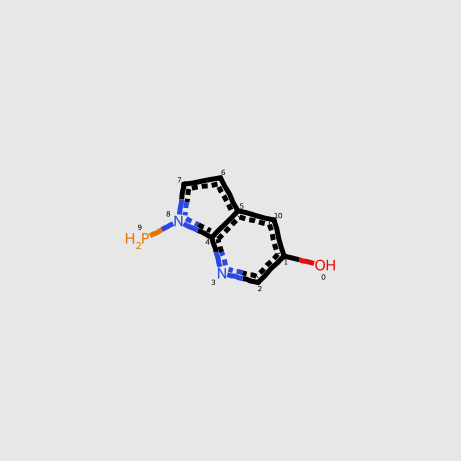 Oc1cnc2c(ccn2P)c1